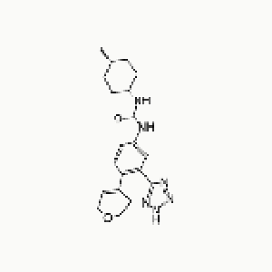 C[C@H]1CC[C@H](NC(=O)Nc2ccc(C3=CCOCC3)c(-c3nn[nH]n3)c2)CC1